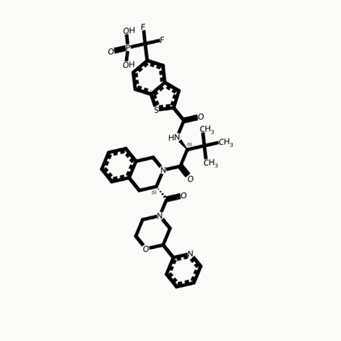 CC(C)(C)[C@H](NC(=O)c1cc2cc(C(F)(F)P(=O)(O)O)ccc2s1)C(=O)N1Cc2ccccc2C[C@H]1C(=O)N1CCOC(c2ccccn2)C1